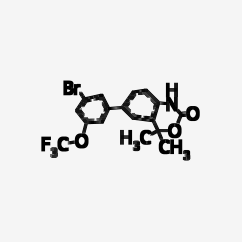 CC1(C)OC(=O)Nc2ccc(-c3cc(Br)cc(OC(F)(F)F)c3)cc21